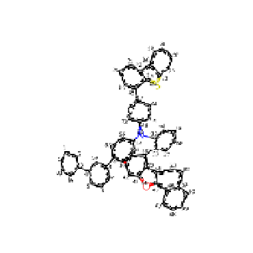 c1ccc(-c2cccc(-c3ccc(N(c4ccc(-c5cccc6c5sc5ccccc56)cc4)c4ccccc4-c4cccc5oc6c7ccccc7ccc6c45)cc3)c2)cc1